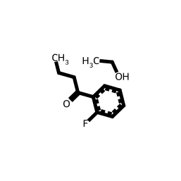 CCCC(=O)c1ccccc1F.CCO